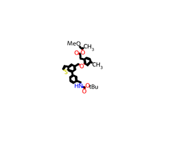 COCC(C)OC(=O)Cc1ccc(C)cc1OCc1cc(-c2cccc(CNC(=O)OC(C)(C)C)c2)c2sccc2c1